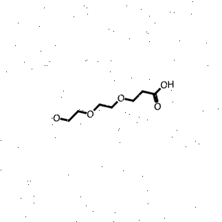 [O]CCOCCOCCC(=O)O